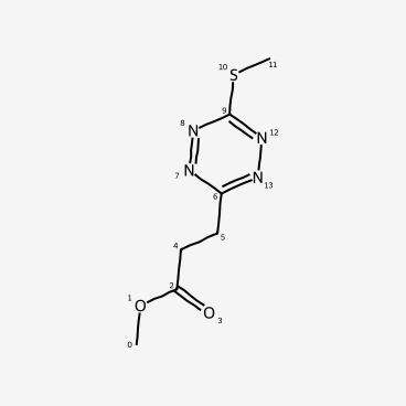 COC(=O)CCc1nnc(SC)nn1